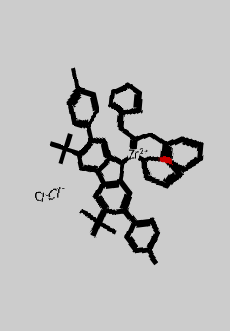 Cc1ccc(-c2cc3c(cc2C(C)(C)C)-c2cc(C(C)(C)C)c(-c4ccc(C)cc4)cc2[CH]3[Zr+2]([C]2=CC=CC2)=[C](Cc2ccccc2)Cc2ccccc2)cc1.[Cl-].[Cl-]